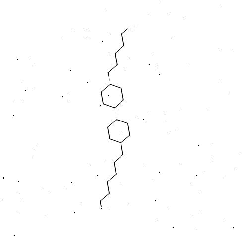 CCCCCCCC1CCC([C@H]2CC[C@H](CCCCCC)CC2)CC1